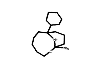 CC(C)(C)C12CCCCCCC(C3CCCCC3)(CCC1)N2